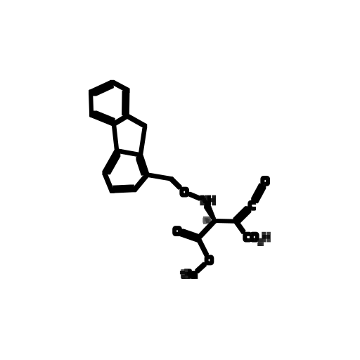 CC(C)(C)OC(=O)[C@@H](NOCc1cccc2c1Cc1ccccc1-2)C(=C=O)C(=O)O